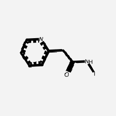 O=C(Cc1ccccn1)NI